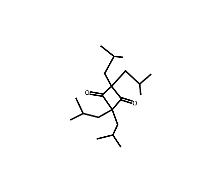 CC(C)CC1(CC(C)C)C(=O)C(CC(C)C)(CC(C)C)C1=O